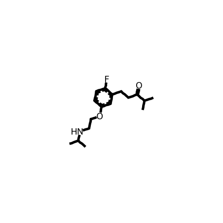 CC(C)NCCOc1ccc(F)c(CCC(=O)C(C)C)c1